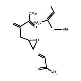 C=C(CC1CO1)C(=O)OC.C=CC(N)=O.CC=C(OCCCC)C(=O)O